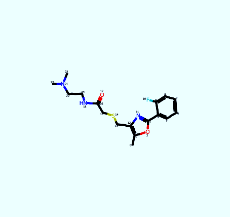 Cc1oc(-c2ccccc2F)nc1CSCC(=O)NCCN(C)C